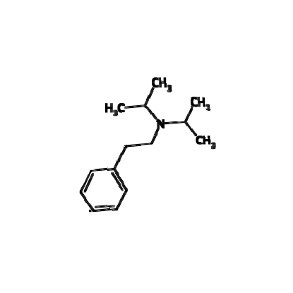 CC(C)N(CCc1cc[c]cc1)C(C)C